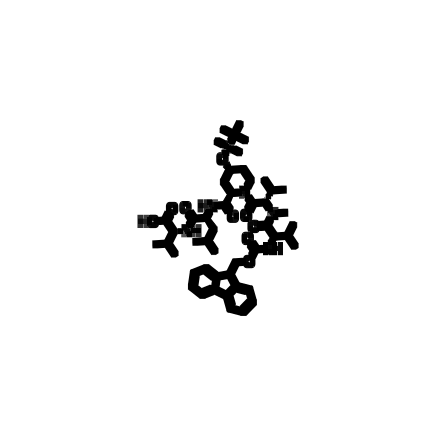 CC(C)C[C@H](NC(=O)[C@H]1C[C@@H](O[Si](C)(C)C(C)(C)C)CCN1C(=O)[C@H](C(C)C)N(C)C(=O)[C@H](NC(=O)OCC1c2ccccc2-c2ccccc21)C(C)C)C(=O)N[C@@H](C(=O)O)C(C)C